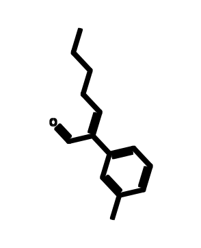 CCCC/C=C(\C=O)c1cccc(C)c1